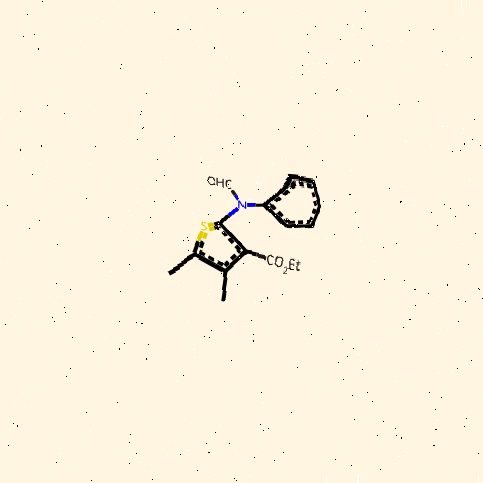 CCOC(=O)c1c(N(C=O)c2ccccc2)sc(C)c1C